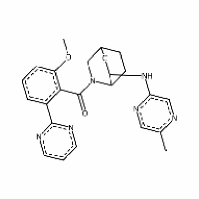 COc1cccc(-c2ncccn2)c1C(=O)N1CC2CCC1C(Nc1cnc(C)cn1)C2